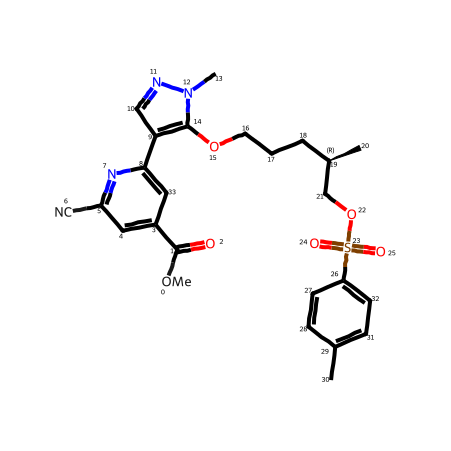 COC(=O)c1cc(C#N)nc(-c2cnn(C)c2OCCC[C@@H](C)COS(=O)(=O)c2ccc(C)cc2)c1